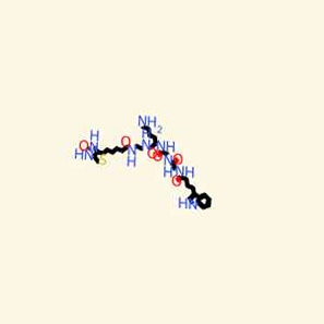 NCCCCC(NC(=O)CNC(=O)CNC(=O)CCCc1c[nH]c2ccccc12)C(=O)NCCNC(=O)CCCCC1SCC2NC(=O)NC21